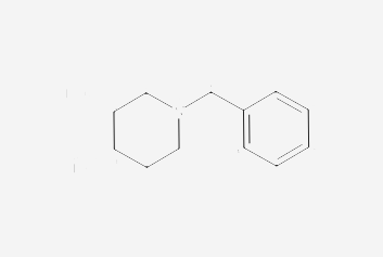 O[C@@H]1CN(Cc2ccccc2)CC[C@@H]1O